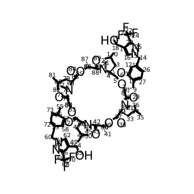 CC(C)C[C@H]1C(=O)O[C@H](Cc2ccc(Cn3cc(CO)c(C(F)(F)F)n3)cc2)C(=O)N(C)[C@@H](CC(C)C)C(=O)O[C@H](C)C(=O)N(C)[C@@H](CC(C)C)C(=O)O[C@H](Cc2ccc(Cn3cc(CO)c(C(F)(F)F)n3)cc2)C(=O)N(C)[C@@H](CC(C)C)C(=O)O[C@H](C)C(=O)N1C